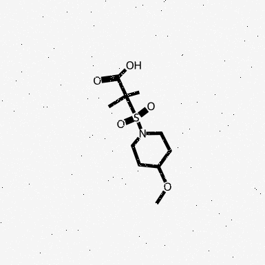 COC1CCN(S(=O)(=O)C(C)(C)C(=O)O)CC1